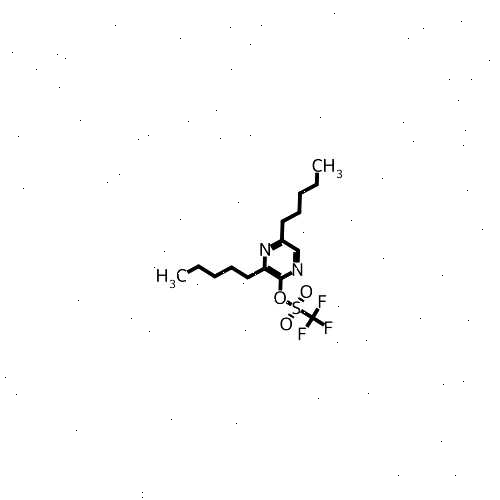 CCCCCc1cnc(OS(=O)(=O)C(F)(F)F)c(CCCCC)n1